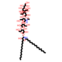 CCCCCCCCCCCCC/C=C/[C@@H](O)[C@H](CO[C@@H]1OC(CO)[C@@H](O[C@@H]2OC(CO)[C@H](O[C@@H]3OC(CO)[C@H](O)[C@H](O[C@@H]4OC(CO)[C@H](O)[C@H](O[C@]5(C(=O)O)CC(O)[C@@H](O)C([C@H](O)[C@H](O)CO)O5)C4O)C3NC(C)=O)[C@H](O)C2O)[C@H](O)C1O)NC(=O)CCCCCCCCCCCCCCCCC